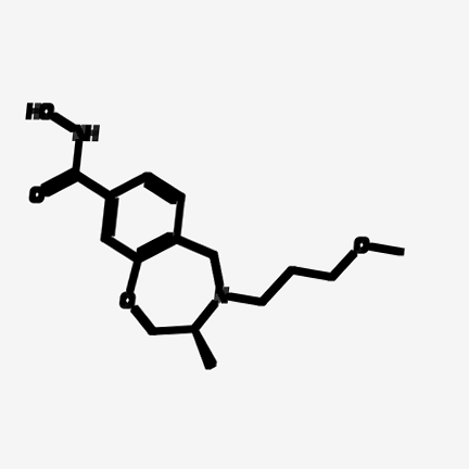 COCCCN1Cc2ccc(C(=O)NO)cc2OC[C@@H]1C